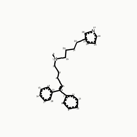 CN(CCCC=C(c1ccccc1)c1ccccc1)CCCCc1cccnc1